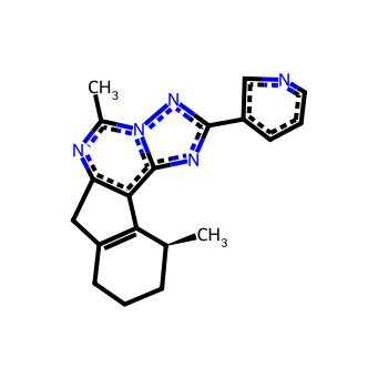 Cc1nc2c(c3nc(-c4cccnc4)nn13)C1=C(CCC[C@@H]1C)C2